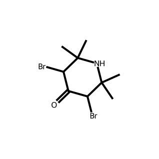 CC1(C)NC(C)(C)C(Br)C(=O)C1Br